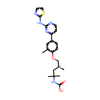 Cc1cc(-c2ccnc(Nc3nccs3)n2)ccc1OC[C@@H](C)CC(C)(C)NC(=O)O